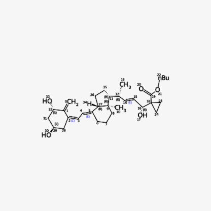 C=C1/C(=C\C=C2/CCC[C@]3(C)[C@@H]([C@H](C)/C=C/[C@@H](O)C4(C(=O)OCCCC)CC4)CC[C@@H]23)C[C@@H](O)C[C@@H]1O